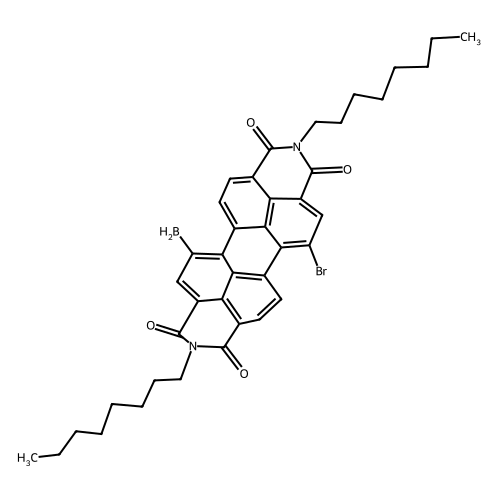 Bc1cc2c3c(ccc4c5c(Br)cc6c7c(ccc(c1c34)c75)C(=O)N(CCCCCCCC)C6=O)C(=O)N(CCCCCCCC)C2=O